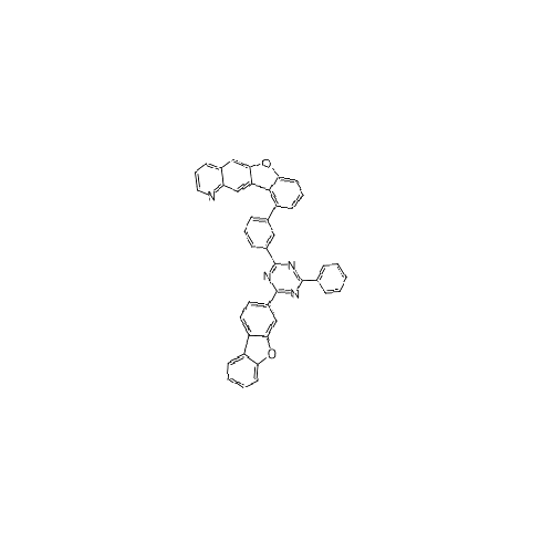 c1ccc(-c2nc(-c3cccc(-c4cccc5oc6cc7cccnc7cc6c45)c3)nc(-c3ccc4c(c3)oc3ccccc34)n2)cc1